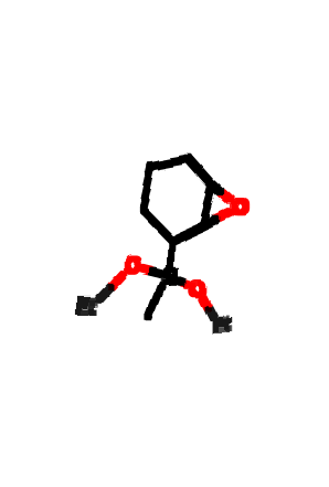 CCO[Si](C)(OCC)C1CCCC2OC21